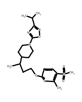 Cc1nc(OCCC(C)C2CCN(c3nc(C(C)C)no3)CC2)ccc1S(C)(=O)=O